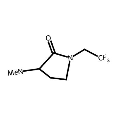 CNC1CCN(CC(F)(F)F)C1=O